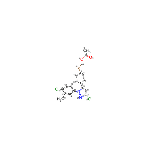 CC(=O)OCSc1ccc(-c2cc(Cl)nn2-c2ccc(Cl)c(C)c2)cc1